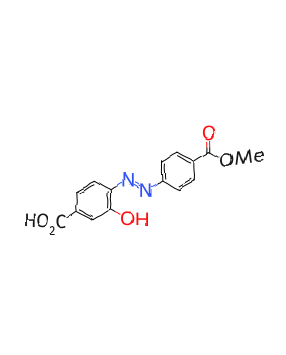 COC(=O)c1ccc(/N=N/c2ccc(C(=O)O)cc2O)cc1